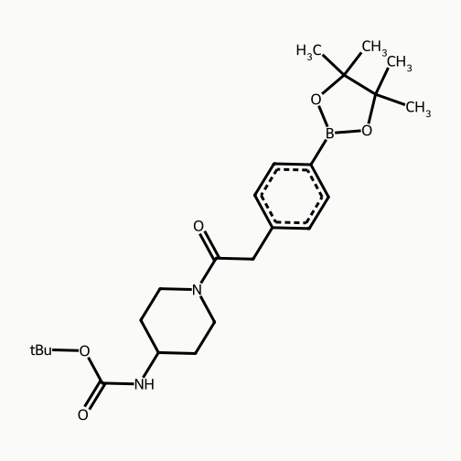 CC(C)(C)OC(=O)NC1CCN(C(=O)Cc2ccc(B3OC(C)(C)C(C)(C)O3)cc2)CC1